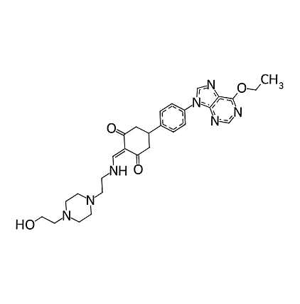 CCOc1ncnc2c1ncn2-c1ccc(C2CC(=O)C(=CNCCN3CCN(CCO)CC3)C(=O)C2)cc1